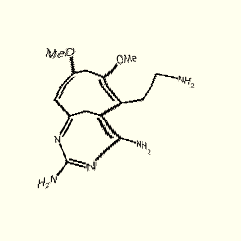 COc1cc2nc(N)nc(N)c2c(CCN)c1OC